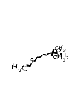 C=CCSCCCCCCC(CC)(CC)C(N)=O